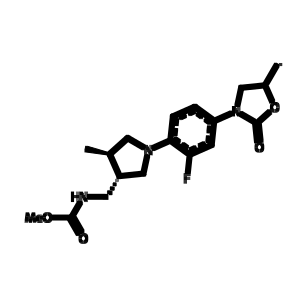 [CH2]C1CN(c2ccc(N3C[C@H](CNC(=O)OC)[C@@H](C)C3)c(F)c2)C(=O)O1